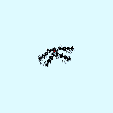 Cn1nnnc1-c1ccc(-c2ccc(N3C[C@H](COP(=O)(OC[C@H]4CN(c5ccc(-c6ccc(-c7nnnn7C)nc6)c(F)c5)C(=O)O4)OP(=O)(OC[C@H]4CN(c5ccc(-c6ccc(-c7nnnn7C)nc6)c(F)c5)C(=O)O4)OC[C@H]4CN(c5ccc(-c6ccc(-c7nnnn7C)nc6)c(F)c5)C(=O)O4)OC3=O)cc2F)cn1